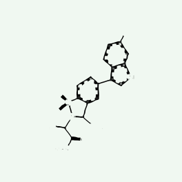 CNC(=O)C(C)N1C(C)c2cc(-c3c[nH]c4cc(F)ccc34)ccc2S1(=O)=O